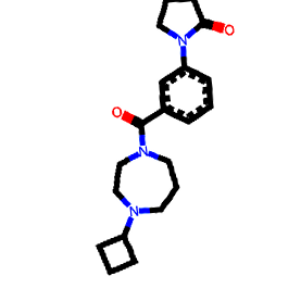 O=C(c1cccc(N2CCCC2=O)c1)N1CCCN(C2CCC2)CC1